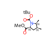 COC(=O)[C@@H]1C[C@H](C)[C@H](C)N1C(=O)OC(C)(C)C